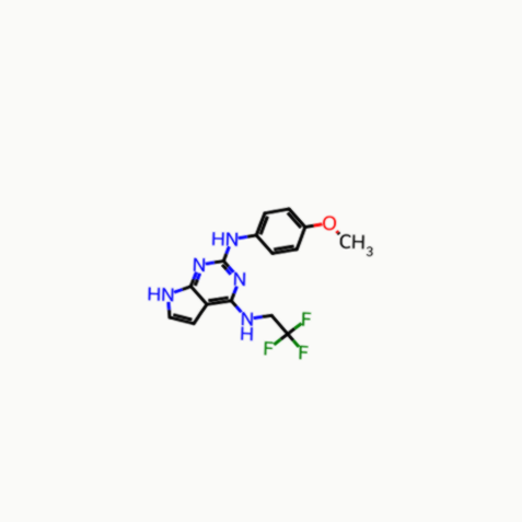 COc1ccc(Nc2nc(NCC(F)(F)F)c3cc[nH]c3n2)cc1